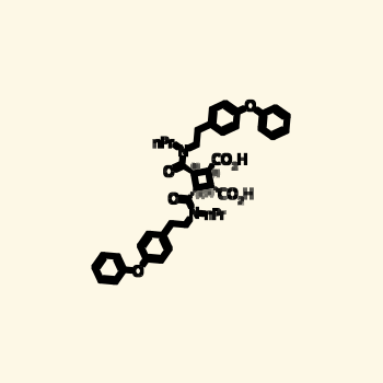 CCCN(CCc1ccc(Oc2ccccc2)cc1)C(=O)[C@H]1[C@@H](C(=O)O)[C@H](C(=O)O)[C@@H]1C(=O)N(CCC)CCc1ccc(Oc2ccccc2)cc1